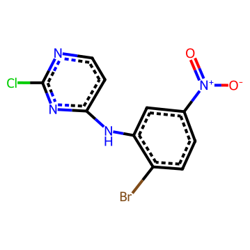 O=[N+]([O-])c1ccc(Br)c(Nc2ccnc(Cl)n2)c1